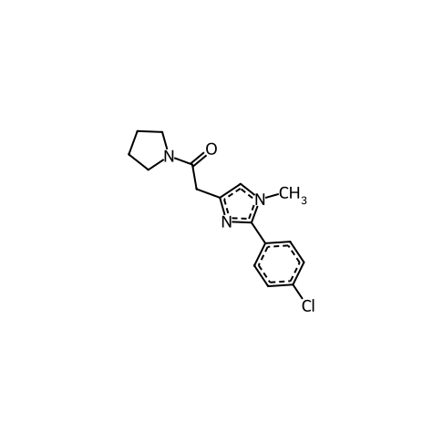 Cn1cc(CC(=O)N2CCCC2)nc1-c1ccc(Cl)cc1